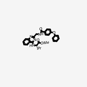 COC(=O)[C@@H](Nc1nc(CNC(=O)c2ccc(Oc3ccccc3)cc2)nc2ccccc12)C(C)C